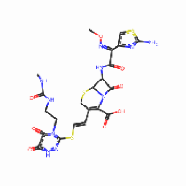 CNC(=O)NCCn1c(SC=CC2=C(C(=O)O)N3C(=O)C(NC(=O)C(=NOC)c4csc(N)n4)C3SC2)n[nH]c(=O)c1=O